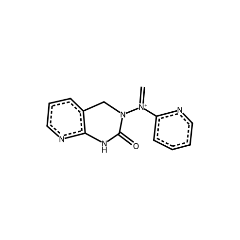 C=[N+](c1ccccn1)N1Cc2cccnc2NC1=O